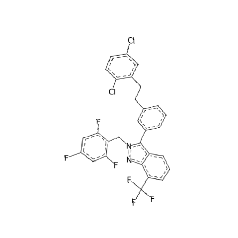 Fc1cc(F)c(Cn2nc3c(C(F)(F)F)cccc3c2-c2cccc(CCc3cc(Cl)ccc3Cl)c2)c(F)c1